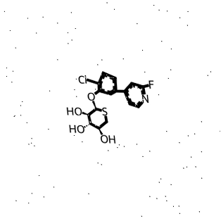 O[C@@H]1[C@@H](O)[C@@H](Oc2cc(-c3ccnc(F)c3)ccc2Cl)SC[C@H]1O